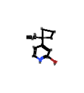 O=C(O)C1(c2ccnc(Br)c2)CCC1